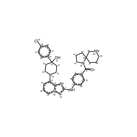 O=C(c1ccc(Nc2nc3c(N4CCC(O)(c5ccc(Cl)cc5)CC4)cccn3n2)cc1)N1CCCC12CCCNC2